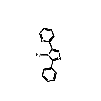 Bn1c(-c2ccccc2)nnc1-c1ccccn1